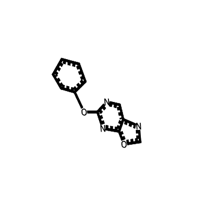 c1ccc(Oc2ncc3ncoc3n2)cc1